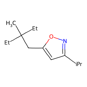 CCC(C)(CC)Cc1cc(C(C)C)no1